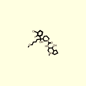 CNCC(NC(=O)N1CCCC(C(O)(CCCCOC)c2cccc(Cl)c2F)C1)C(O)C1CCCC1